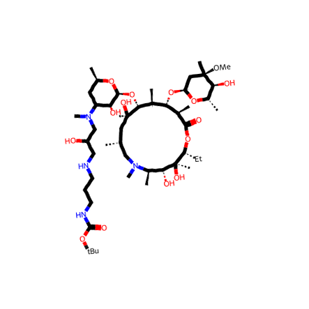 CC[C@H]1OC(=O)[C@H](C)[C@@H](O[C@H]2C[C@@](C)(OC)[C@@H](O)[C@H](C)O2)[C@H](C)[C@@H](O[C@@H]2O[C@H](C)CC(N(C)CC(O)CNCCCNC(=O)OC(C)(C)C)[C@H]2O)[C@](C)(O)C[C@@H](C)CN(C)[C@H](C)[C@@H](O)[C@]1(C)O